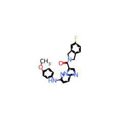 COc1ccc(Nc2ccc3ncc(C(=O)N4Cc5ccc(F)cc5C4)n3n2)cc1